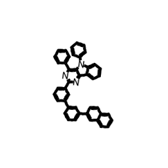 c1ccc(-c2nc(-c3cccc(-c4cccc(-c5ccc6ccccc6c5)c4)c3)nc3c4ccccc4n(-c4ccccc4)c23)cc1